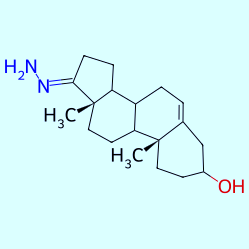 C[C@]12CCC(O)CC1=CCC1C2CC[C@]2(C)C(=NN)CCC12